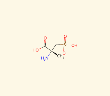 C[C@](N)(CS(=O)(=O)O)C(=O)O